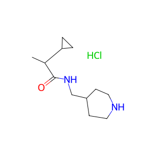 CC(C(=O)NCC1CCNCC1)C1CC1.Cl